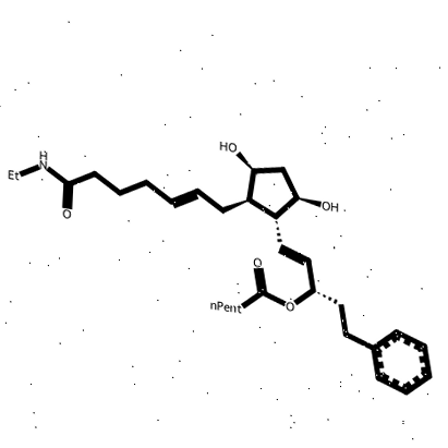 CCCCCC(=O)O[C@H](/C=C/[C@@H]1[C@@H](C/C=C/CCCC(=O)NCC)[C@@H](O)C[C@H]1O)CCc1ccccc1